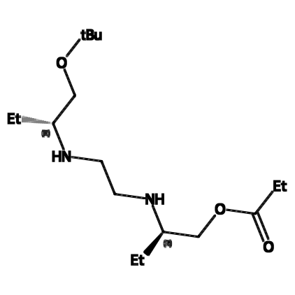 CCC(=O)OC[C@@H](CC)NCCN[C@H](CC)COC(C)(C)C